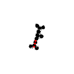 C1=CC2Oc3c(-c4ccc(-c5ccc(-c6cc(-c7ccccn7)cc(-c7ccccn7)c6)cc5)cc4)ccc(-c4ccc(-c5nc(-c6ccccc6)nc(-c6ccccc6)n5)cc4)c3OC2C=C1